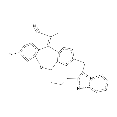 CCCc1nc2ccccn2c1Cc1ccc2c(c1)COc1cc(F)ccc1C2=C(C)C#N